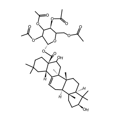 CC(=O)OCC1O[C@H](OC(=O)[C@]23CCC(C)(C)C[C@H]2C2=CC[C@@H]4[C@@]5(C)CC[C@H](O)C(C)(C)[C@@H]5CC[C@@]4(C)[C@]2(C)CC3O)C(OC(C)=O)C(OC(C)=O)[C@H]1OC(C)=O